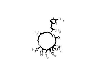 C/C1=C/C[C@@H](/C(C)=C/c2csc(C)n2)OC(=O)CC(O)C(C)(C)C(=O)C(C)C(O)C(C)CCC1